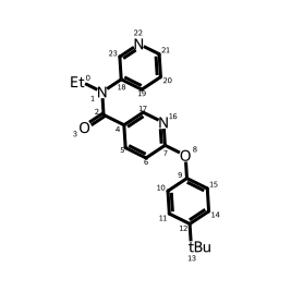 CCN(C(=O)c1ccc(Oc2ccc(C(C)(C)C)cc2)nc1)c1cccnc1